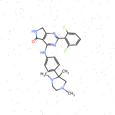 CN1CCN(C)C(C)(c2ccc(Nc3nc(-c4c(F)cccc4F)nc4c3C(=O)NC4)cc2)C1